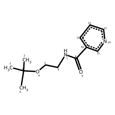 CC(C)(C)OCCNC(=O)c1cccnc1